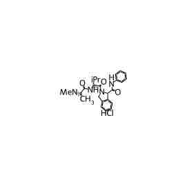 CN[C@@H](C)C(=O)N[C@H](C(=O)N1Cc2ccccc2C1C(=O)Nc1ccccc1)C(C)C.Cl